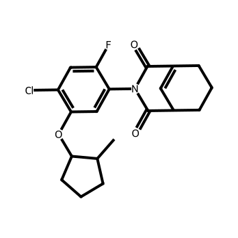 CC1CCCC1Oc1cc(N2C(=O)C3=CC(CCC3)C2=O)c(F)cc1Cl